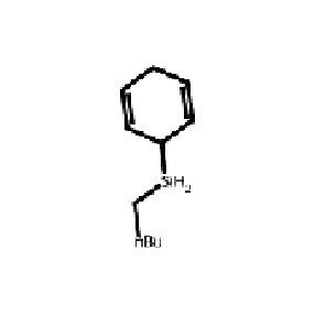 CCCCC[SiH2]C1C=CCC=C1